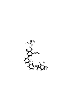 COc1cc(-c2cccc(-c3cccc(NC(=O)c4c[nH]c(=O)n(C)c4=O)c3C)c2C)cc(F)c1CNC[C@@H](N)O